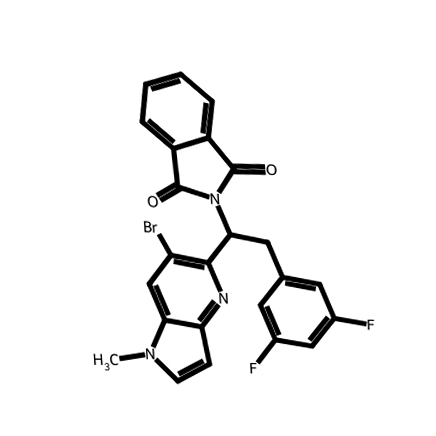 Cn1ccc2nc(C(Cc3cc(F)cc(F)c3)N3C(=O)c4ccccc4C3=O)c(Br)cc21